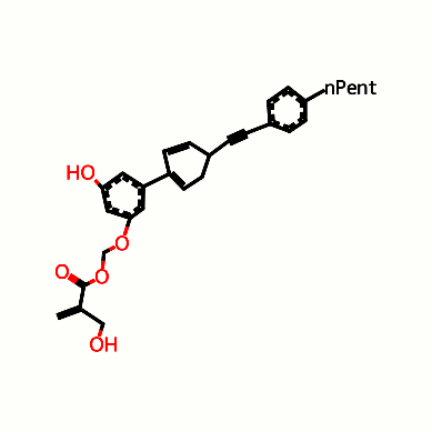 C=C(CO)C(=O)OCOc1cc(O)cc(C2=CCC(C#Cc3ccc(CCCCC)cc3)C=C2)c1